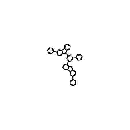 c1ccc(-c2ccc3oc4c(-c5nc(-c6ccccc6)nc(-n6c7ccccc7c7cc(-c8ccccc8)ccc76)n5)cccc4c3c2)cc1